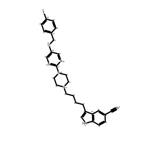 N#Cc1ccc2[nH]cc(CCCCN3CCN(c4ncc(OCc5ccc(F)cc5)cn4)CC3)c2c1